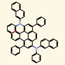 c1ccc(-c2cc(N(c3ccccc3)c3ccc4ccccc4c3)c3c4ccccc4c4c(-c5ccccc5)cc(N(c5ccccc5)c5ccc6ccccc6c5)c5ccc2c3c54)cc1